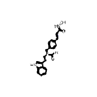 CC(C)C(=O)N(CCc1c[nH]c2ccccc12)Cc1ccc(/C=C/C(=O)NO)cc1